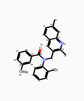 CCc1ccccc1N(Cc1cc2ccc(C)cc2nc1C)C(=O)c1cccc(OC)c1